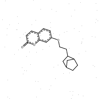 O=c1ccc2ccc(OCCC3CC4CCC3C4)cc2o1